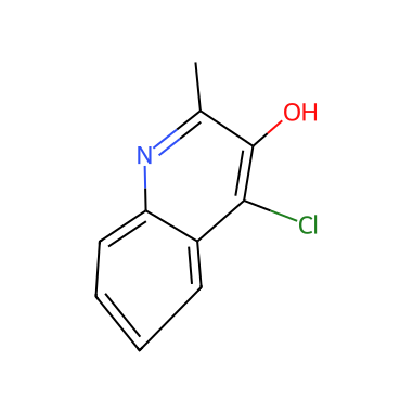 Cc1nc2ccccc2c(Cl)c1O